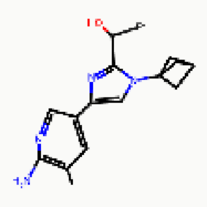 CCC(O)c1nc(-c2cnc(N)c(C)c2)cn1C12CC(C1)C2